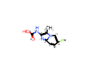 Cc1c(NC(=O)O)nc2ccc(F)cn12